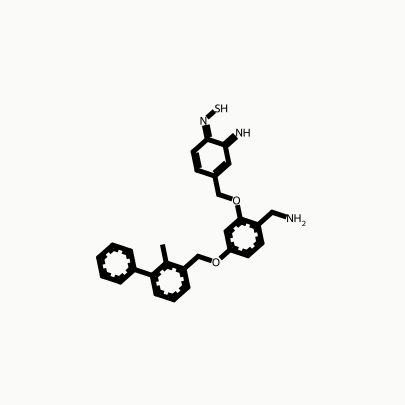 Cc1c(COc2ccc(CN)c(OCC3=CC(=N)/C(=N\S)C=C3)c2)cccc1-c1ccccc1